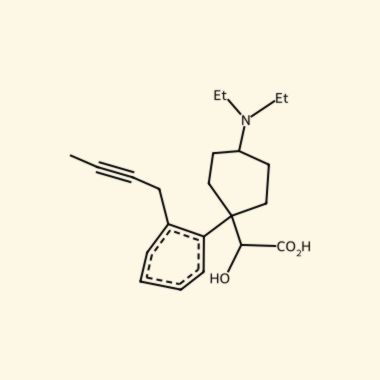 CC#CCc1ccccc1C1(C(O)C(=O)O)CCC(N(CC)CC)CC1